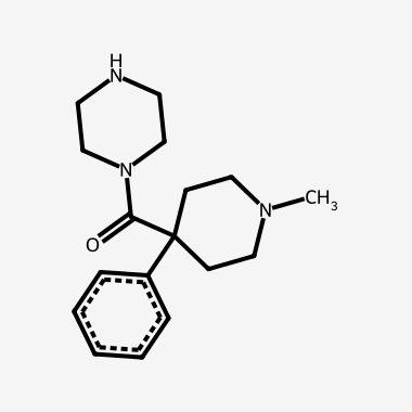 CN1CCC(C(=O)N2CCNCC2)(c2ccccc2)CC1